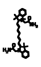 CC1(C)C(/C=C/C=C/C=C/C=C2/N(CC(N)=O)c3ccccc3C2(C)C)=[N+](CC(N)=O)c2ccccc21